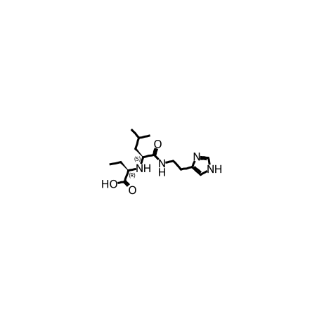 CC[C@@H](N[C@@H](CC(C)C)C(=O)NCCc1c[nH]cn1)C(=O)O